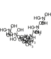 CC(=O)O.CC(=O)O.CC(=O)O.CC(=O)O.NCCN.OCCN(CCO)CCO.OCCN(CCO)CCO.OCCN(CCO)CCO.OCCN(CCO)CCO